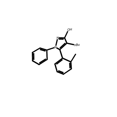 CCCCc1c(O)nn(-c2ccccc2)c1-c1ccccc1C